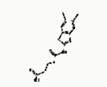 Cc1cc2nc(NC(=O)CCCC(=O)O)sc2cc1C